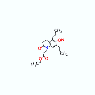 C=CCc1cc2c(c(CC=C)c1O)CCC(=O)N2CCC(=O)OCC